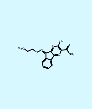 COCCO/N=C1\c2ccccc2-c2nc(C(N)=O)c(C#N)nc21